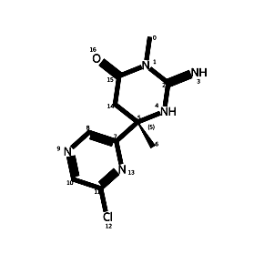 CN1C(=N)N[C@](C)(c2cncc(Cl)n2)CC1=O